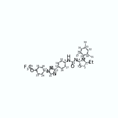 CCC1CS/C(=N\C(=O)Nc2ccc(-c3ncn(-c4ccc(OC(F)(F)F)cc4)n3)cc2)N1c1c(C)cc(C)cc1C